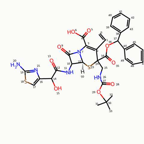 C=CC1=C(C(=O)O)N2C(=O)C(NC(=O)C(O)c3csc(N)n3)[C@@H]2SC1(CNC(=O)OC(C)(C)C)C(=O)OC(c1ccccc1)c1ccccc1